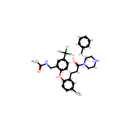 CC(=O)NCc1cc(C(F)(F)F)ccc1Oc1ccc(C)cc1CCC(=O)N1CCNC[C@H]1Cc1ccccc1